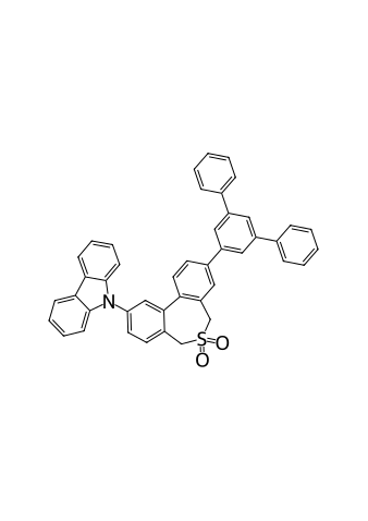 O=S1(=O)Cc2cc(-c3cc(-c4ccccc4)cc(-c4ccccc4)c3)ccc2-c2cc(-n3c4ccccc4c4ccccc43)ccc2C1